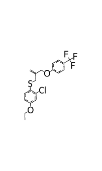 C=C(COc1ccc(C(F)(F)F)cc1)CSc1ccc(OCC)cc1Cl